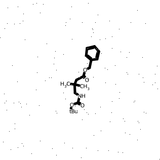 CC(C)(CNC(=O)OC(C)(C)C)CC(=O)OCc1ccccc1